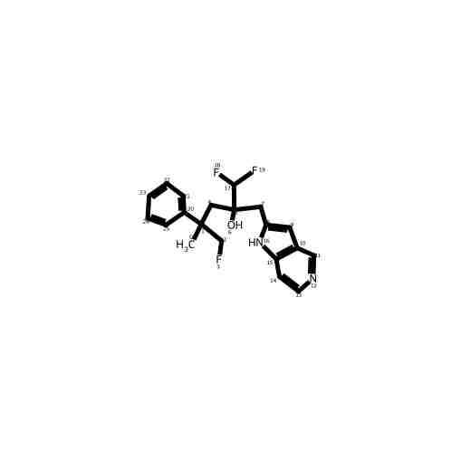 CC(CF)(CC(O)(Cc1cc2cnccc2[nH]1)C(F)F)c1ccccc1